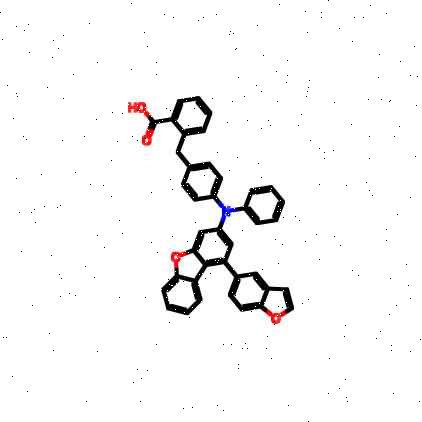 O=C(O)c1ccccc1Cc1ccc(N(c2ccccc2)c2cc(-c3ccc4occc4c3)c3c(c2)oc2ccccc23)cc1